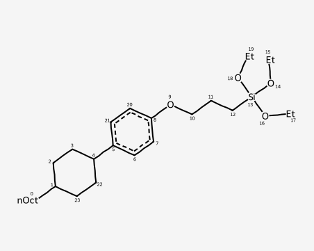 CCCCCCCCC1CCC(c2ccc(OCCC[Si](OCC)(OCC)OCC)cc2)CC1